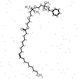 CCCCCCCC/C=C\CCCCCCCC(=O)OCCOCCC(C)(C)OCCC(C)(C)OCc1ccccc1